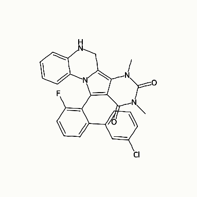 Cn1c(=O)c2c(-c3c(F)cccc3-c3cccc(Cl)c3)n3c(c2n(C)c1=O)CNc1ccccc1-3